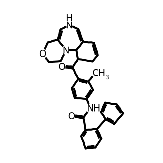 Cc1cc(NC(=O)c2ccccc2-c2ccccc2)ccc1C(=O)C1CC=CC2=CNC=C3COCCN3C21